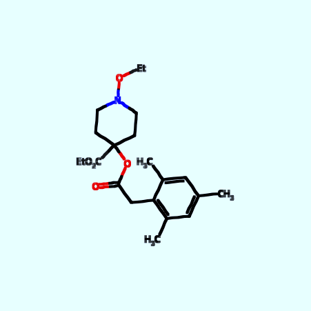 CCOC(=O)C1(OC(=O)Cc2c(C)cc(C)cc2C)CCN(OCC)CC1